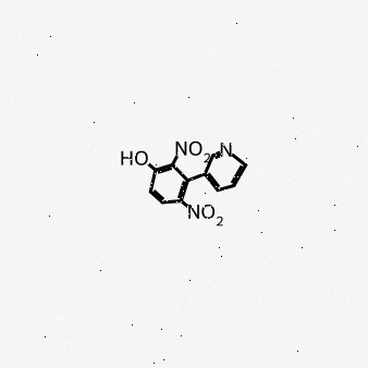 O=[N+]([O-])c1ccc(O)c([N+](=O)[O-])c1-c1cccnc1